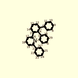 [c]1ccc(-c2c(-c3ccccc3)cccc2-c2cccc(-c3ccccc3)n2)cc1